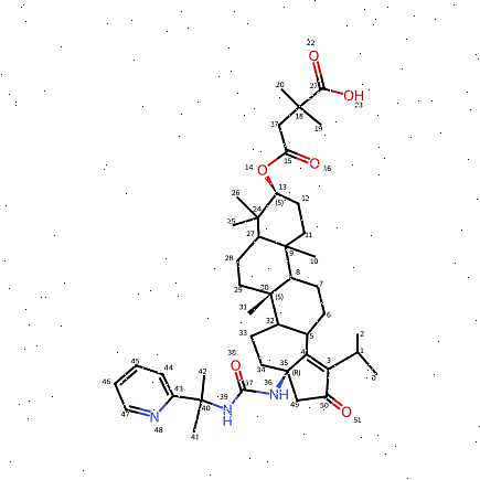 CC(C)C1=C2C3CCC4C5(C)CC[C@H](OC(=O)CC(C)(C)C(=O)O)C(C)(C)C5CC[C@@]4(C)C3CC[C@@]2(NC(=O)NC(C)(C)c2ccccn2)CC1=O